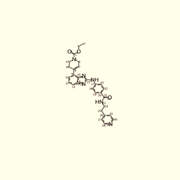 CCOC(=O)N1CC=C(c2cccn3nc(Nc4ccc(C(=O)NCCc5ccncc5)cc4)nc23)CC1